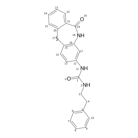 O=C(NCCc1ccccc1)Nc1ccc2c(c1)NC(=O)c1ccccc1S2